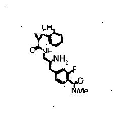 CNC(=O)c1ccc(CC(N)CNC(=O)[C@@H]2C[C@@]2(C)c2ccccc2)cc1F